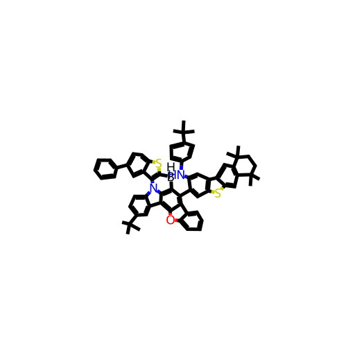 CC(C)(C)c1ccc(Nc2cc3c(cc2-c2c4c5c(c6cc(C(C)(C)C)ccc6n5-c5c(sc6ccc(-c7ccccc7)cc56)B4)c4oc5ccccc5c24)sc2cc4c(cc23)C(C)(C)CCC4(C)C)cc1